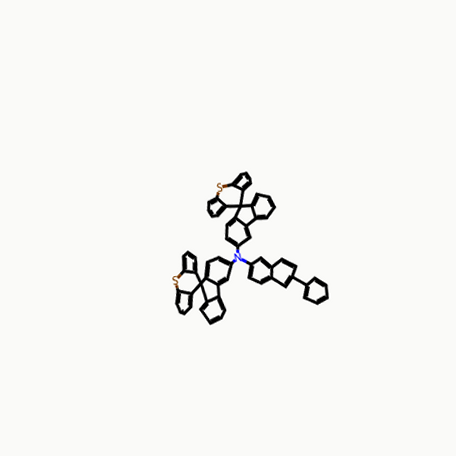 c1ccc(-c2ccc3cc(N(c4ccc5c(c4)-c4ccccc4C54c5ccccc5Sc5ccccc54)c4ccc5c(c4)-c4ccccc4C54c5ccccc5Sc5ccccc54)ccc3c2)cc1